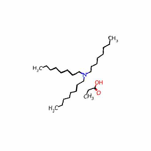 CCC(=O)O.CCCCCCCCN(CCCCCCCC)CCCCCCCC